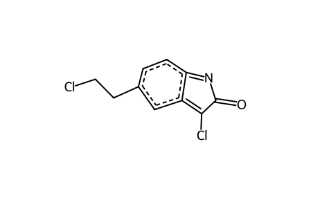 O=C1N=c2ccc(CCCl)cc2=C1Cl